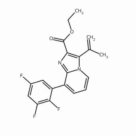 C=C(C)c1c(C(=O)OCC)nc2c(-c3cc(F)cc(F)c3F)cccn12